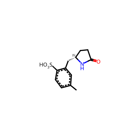 Cc1ccc(S(=O)(=O)O)c(C[C@@H]2CCC(=O)N2)c1